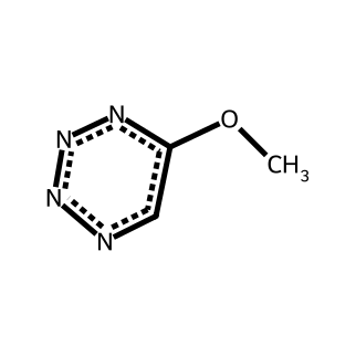 COc1cnnnn1